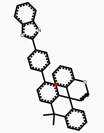 CC1(C)c2ccccc2C2(c3ccccc3Oc3ccccc32)c2cc(-c3ccc(-c4nc5ccccc5o4)cc3)ccc21